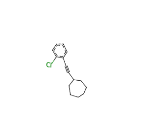 Clc1ccccc1C#CC1CCCCCC1